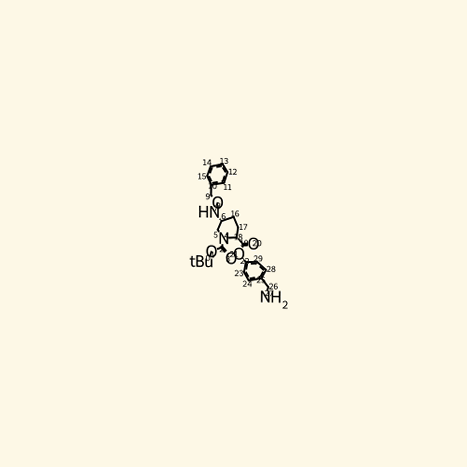 CC(C)(C)OC(=O)N1C[C@H](NOCc2ccccc2)CC[C@H]1C(=O)Oc1ccc(CN)cc1